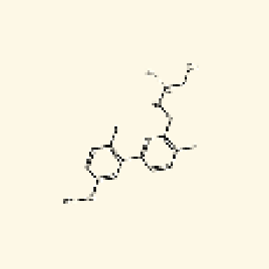 CCCOc1ccc(F)c(-c2ccc(F)c(CN[C@@H](CO)C(C)C)n2)c1